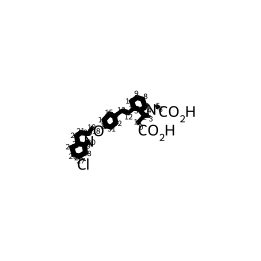 O=C(O)Cc1cn(CC(=O)O)c2cccc(C=Cc3ccc(OCc4ccc5ccc(Cl)cc5n4)cc3)c12